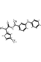 CC(C)C(C(=O)OC(C#N)c1cccc(Oc2ccccc2)c1)c1cc(C(F)(F)F)cs1